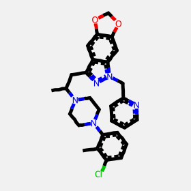 Cc1c(Cl)cccc1N1CCN(C(C)Cc2nn(Cc3ccccn3)c3cc4c(cc23)OCO4)CC1